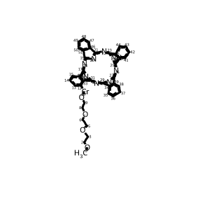 COCCOCCOCC[O][Cr][c]1cccc2c3nc4nc(nc5[nH]c(nc6nc(nc([nH]3)c12)-c1ccccc1-6)c1ccccc51)-c1ccccc1-4